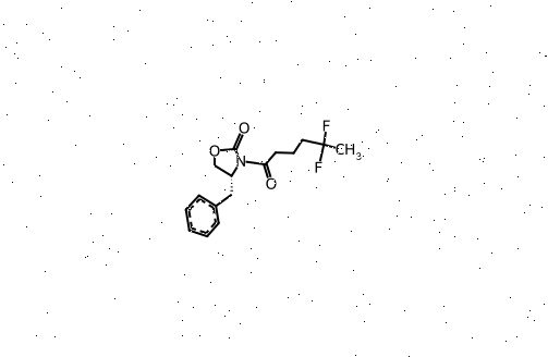 CC(F)(F)CCCC(=O)N1C(=O)OC[C@H]1Cc1ccccc1